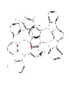 C/C=C\c1c(C)c2ccc3c4ccccc4n(-c4cc(C(F)(F)F)c(-n5c6ccccc6c6ccc7c8ccccc8n(-c8ccccc8)c7c65)cc4-c4c(F)c(F)c(F)c(F)c4F)c3c2n1-c1ccccc1